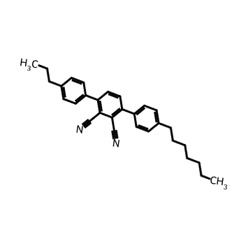 CCCCCCCc1ccc(-c2ccc(-c3ccc(CCC)cc3)c(C#N)c2C#N)cc1